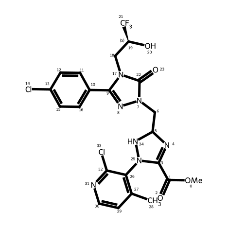 COC(=O)C1=NC(Cn2nc(-c3ccc(Cl)cc3)n(C[C@H](O)C(F)(F)F)c2=O)NN1c1c(C)ccnc1Cl